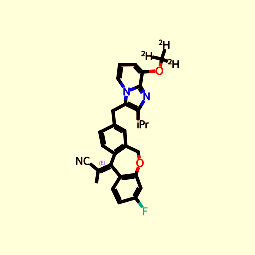 [2H]C([2H])([2H])Oc1cccn2c(Cc3ccc4c(c3)COc3cc(F)ccc3/C4=C(\C)C#N)c(C(C)C)nc12